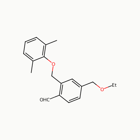 CCOCc1ccc(C=O)c(COc2c(C)cccc2C)c1